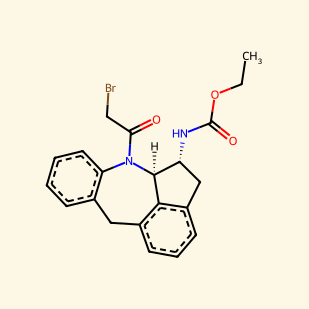 CCOC(=O)N[C@@H]1Cc2cccc3c2[C@H]1N(C(=O)CBr)c1ccccc1C3